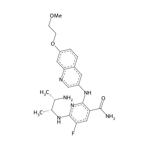 COCCOc1ccc2cc(Nc3nc(N[C@H](C)[C@H](C)N)c(F)cc3C(N)=O)cnc2c1